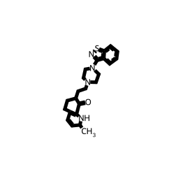 CC1C=CC2=C(N1)C(=O)C(CCN1CCN(c3nsc4ccccc34)CC1)CC2